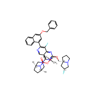 CC(C)(C)OC(=O)N1[C@@H]2CC[C@H]1CN(c1nc(OC[C@]34CCCN3C[C@@H](F)C4)nc3c(F)c(-c4cc(OCc5ccccc5)cc5ccccc45)ncc13)C2